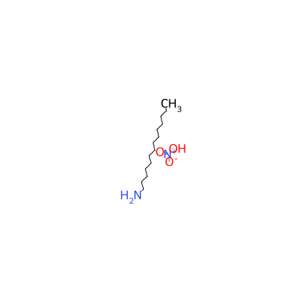 CCCCCCCCCCCCCCN.O=[N+]([O-])O